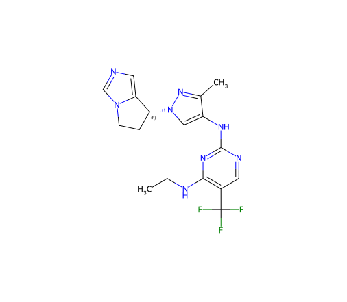 CCNc1nc(Nc2cn([C@@H]3CCn4cncc43)nc2C)ncc1C(F)(F)F